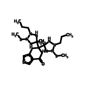 CCCN1NC(C)(C2(C3(C)NN(CCC)N(SC)N3)CC(=O)c3cscc3C2)NN1SC